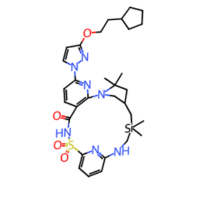 CC1(C)CC2CN1c1nc(-n3ccc(OCCC4CCCC4)n3)ccc1C(=O)NS(=O)(=O)c1cccc(n1)NC[Si](C)(C)C2